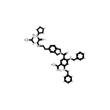 C=C(C)c1cc(C(=O)N2Cc3ccc(CCN[C@H](CC(C)C)C(=O)OC4CCCC4)cc3C2)c(OCc2ccccc2)cc1OCc1ccccc1